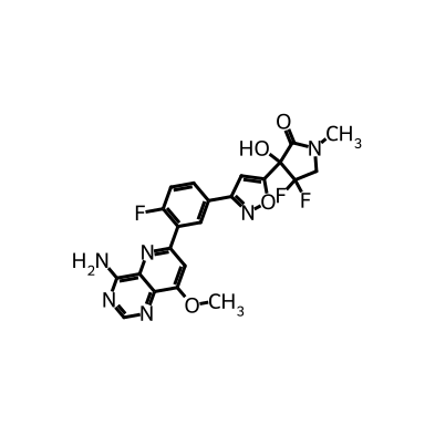 COc1cc(-c2cc(-c3cc(C4(O)C(=O)N(C)CC4(F)F)on3)ccc2F)nc2c(N)ncnc12